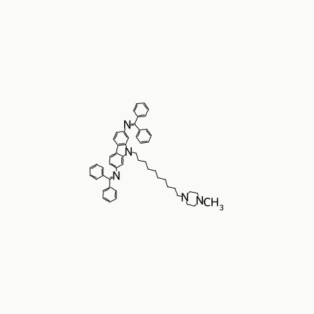 CN1CCN(CCCCCCCCCCn2c3cc(N=C(c4ccccc4)c4ccccc4)ccc3c3ccc(N=C(c4ccccc4)c4ccccc4)cc32)CC1